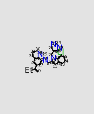 C=C(CC)c1cc2c(c(/N=C/c3cc4cccc(Cl)c4n3Cc3cncnc3)c1)N(C)CCC2